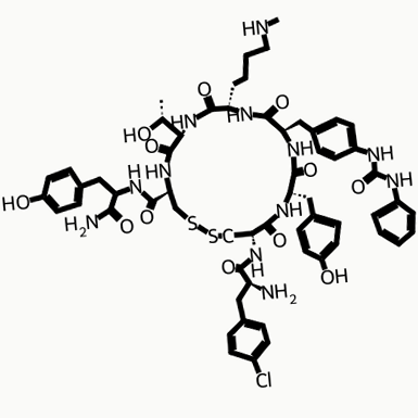 CNCCCC[C@@H]1NC(=O)[C@@H](Cc2ccc(NC(=O)Nc3ccccc3)cc2)NC(=O)[C@H](Cc2ccc(O)cc2)NC(=O)[C@H](NC(=O)[C@@H](N)Cc2ccc(Cl)cc2)CSSC[C@@H](C(=O)NC(Cc2ccc(O)cc2)C(N)=O)NC(=O)[C@H]([C@@H](C)O)NC1=O